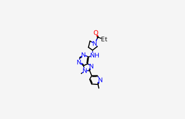 CCC(=O)N1CC[C@H](Nc2ncnc3c2nc(-c2ccc(C)nc2)n3C)C1